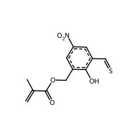 C=C(C)C(=O)OCc1cc([N+](=O)[O-])cc(C=S)c1O